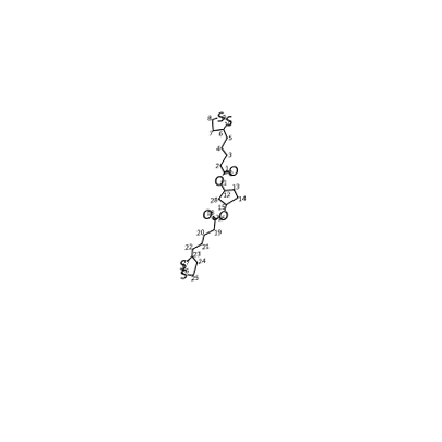 O=C(CCCCC1CCSS1)OC1CCC(OC(=O)CCCCC2CCSS2)C1